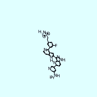 CC(C)Nc1cncc(-c2ccc3[nH]nc(-c4cc5c(-c6cc(F)cc(CCS(N)(=O)=O)c6)nccc5[nH]4)c3n2)c1